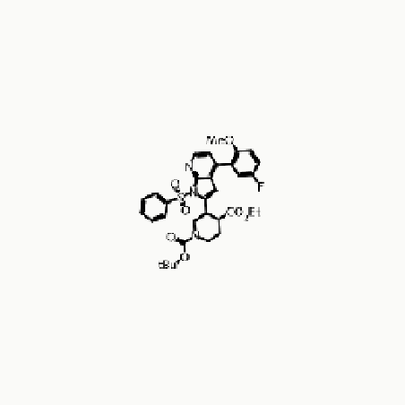 CCOC(=O)C1CCN(C(=O)OC(C)(C)C)CC1c1cc2c(-c3cc(F)ccc3OC)ccnc2n1S(=O)(=O)c1ccccc1